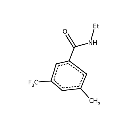 CCNC(=O)c1cc(C)cc(C(F)(F)F)c1